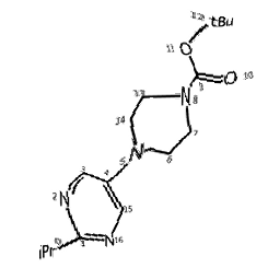 CC(C)c1ncc(N2CCN(C(=O)OC(C)(C)C)CC2)cn1